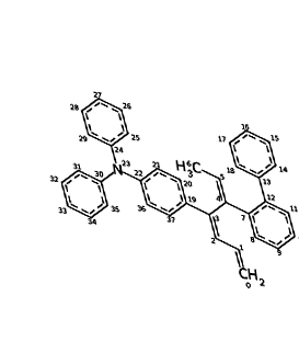 C=C/C=C(\C(=C/C)c1ccccc1-c1ccccc1)c1ccc(N(c2ccccc2)c2ccccc2)cc1